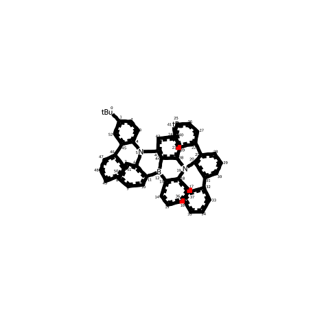 CC(C)(C)c1ccc(N2c3ccccc3B3c4ccccc4N(c4c(-c5ccccc5)cccc4-c4ccccc4)c4cc(C(C)(C)C)cc2c43)c(-c2ccccc2)c1